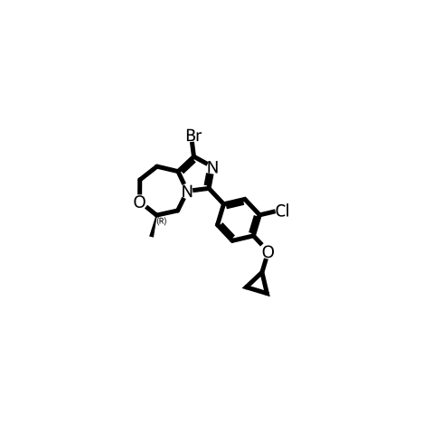 C[C@@H]1Cn2c(-c3ccc(OC4CC4)c(Cl)c3)nc(Br)c2CCO1